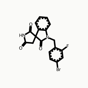 O=C1CC2(C(=O)N1)C(=O)N(Cc1ccc(Br)cc1F)c1ccccc12